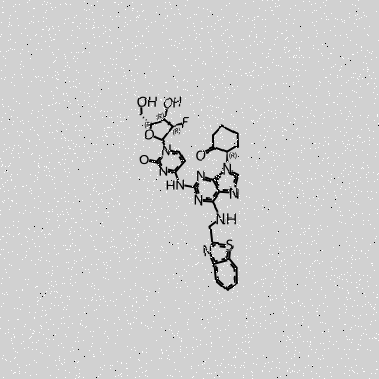 O=C1CCCC[C@H]1n1cnc2c(NCc3nc4ccccc4s3)nc(Nc3ccn(C4O[C@H](CO)[C@@H](O)[C@H]4F)c(=O)n3)nc21